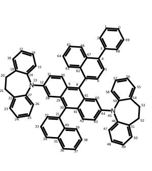 c1ccc(-c2ccc(-c3c4ccc(N5c6ccccc6CCc6ccccc65)cc4c(-c4cccc5ccccc45)c4ccc(N5c6ccccc6CCc6ccccc65)cc34)c3ccccc23)cc1